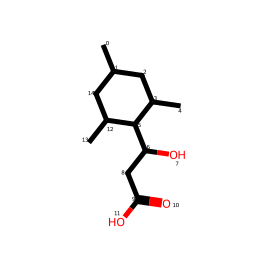 CC1CC(C)C(C(O)CC(=O)O)C(C)C1